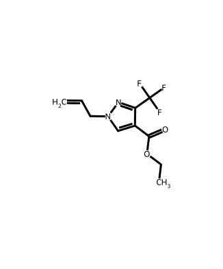 C=CCn1cc(C(=O)OCC)c(C(F)(F)F)n1